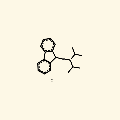 CC(C)N([B+]C1c2ccccc2-c2ccccc21)C(C)C.[Cl-]